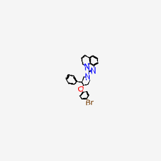 Brc1ccc(OC2CCN(c3nc4cccc5c4n3CCC5)CC2c2ccccc2)cc1